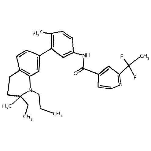 CCCN1c2cc(-c3cc(NC(=O)c4ccnc(C(C)(F)F)c4)ccc3C)ccc2CCC1(C)CC